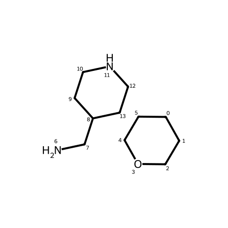 C1CCOCC1.NCC1CCNCC1